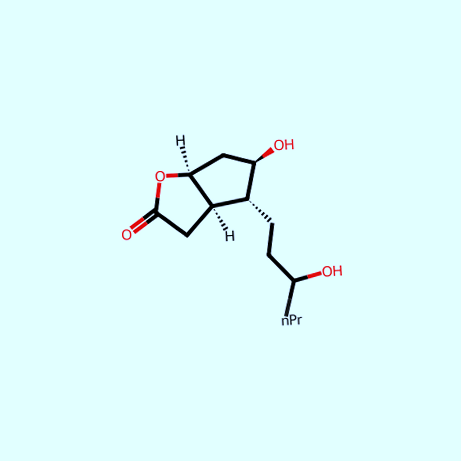 CCCC(O)CC[C@@H]1[C@H]2CC(=O)O[C@H]2C[C@H]1O